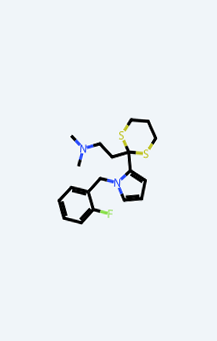 CN(C)CCC1(c2cccn2Cc2ccccc2F)SCCCS1